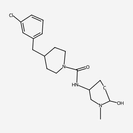 CN1CC(NC(=O)N2CCC(Cc3cccc(Cl)c3)CC2)CCC1O